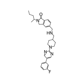 CCCC(C)N1Cc2cc(CNCC3CCN(c4ncc(-c5cccc(F)c5)cn4)CC3)ccc2C1=O